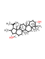 C=C(C)[C@@H]1C(C)C[C@]2(CO)CC[C@]3(C)C(CC[C@@H]4[C@@]5(C)CC[C@H](O)C(C)(C)[C@@H]5CC[C@]43C)[C@@H]12